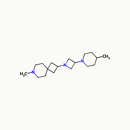 CC1CCN(C2CN(C3CC4(CCN(C)CC4)C3)C2)CC1